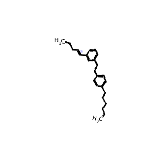 CCC/C=C/c1cccc(CCc2ccc(CCCCCC)cc2)c1